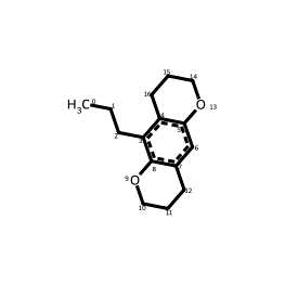 CCCc1c2c(cc3c1OCCC3)OCCC2